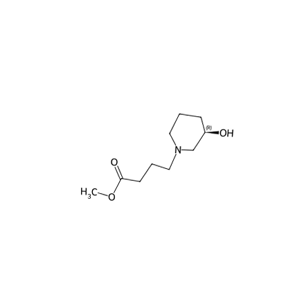 COC(=O)CCCN1CCC[C@@H](O)C1